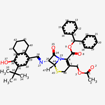 CC(=O)OCC1=C(C(=O)OC(c2ccccc2)c2ccccc2)N2C(=O)[C@@H](/N=C/c3cc(C(C)(C)C)c(O)c4c3CCCC4)[C@H]2SC1